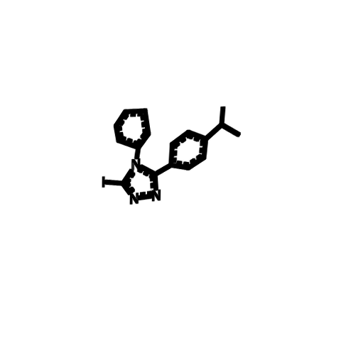 CC(C)c1ccc(-c2nnc(I)n2-c2ccccc2)cc1